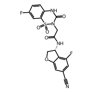 N#Cc1cc(F)c2c(c1)OC[C@@H]2NC(=O)CN1C(=O)Nc2ccc(F)cc2S1(=O)=O